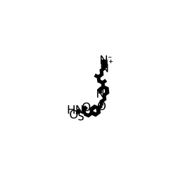 CC(CCN=[N+]=[N-])CC(C)c1ccc(CCOc2ccc(CC3SC(=O)NC3=O)cc2)nc1